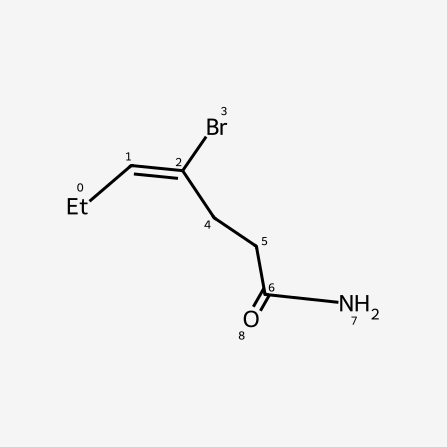 CC/C=C(/Br)CCC(N)=O